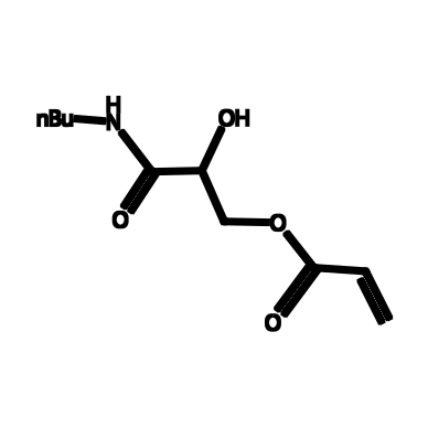 C=CC(=O)OCC(O)C(=O)NCCCC